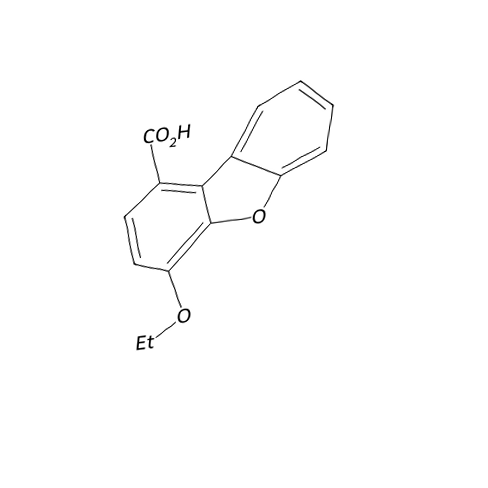 CCOc1ccc(C(=O)O)c2c1oc1ccccc12